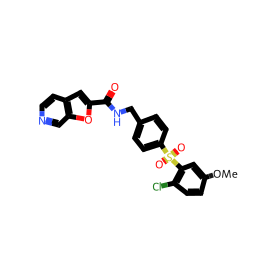 COc1ccc(Cl)c(S(=O)(=O)c2ccc(CNC(=O)c3cc4ccncc4o3)cc2)c1